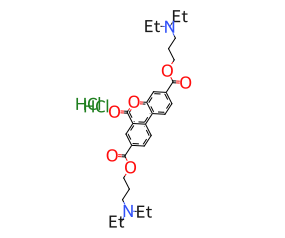 CCN(CC)CCCOC(=O)c1ccc2c(c1)oc(=O)c1cc(C(=O)OCCCN(CC)CC)ccc12.Cl.Cl